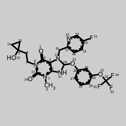 Cn1c2c(c(=O)n(CCC3(O)CC3)c1=O)N(Cc1ccc(F)cn1)C(Oc1cccc(OC(F)(F)F)c1)N2